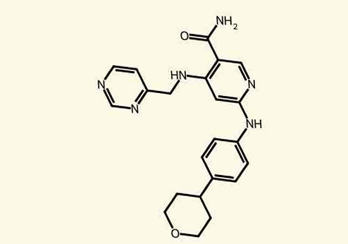 NC(=O)c1cnc(Nc2ccc(C3CCOCC3)cc2)cc1NCc1ccncn1